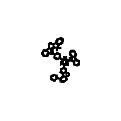 CC1(C)c2ccccc2-c2ccc3c4ccccc4n(-c4ccc(-c5nc(-c6ccc7c(c6)oc6cccc(-c8ccccc8)c67)nc(-n6c7ccccc7c7ccccc76)n5)cc4)c3c21